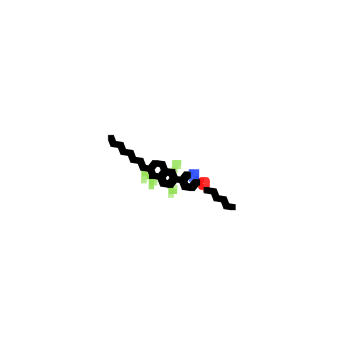 CCCCCCCCC1CCc2c(cc(F)c(-c3ccc(OCCCCCC)nc3)c2F)C1(F)F